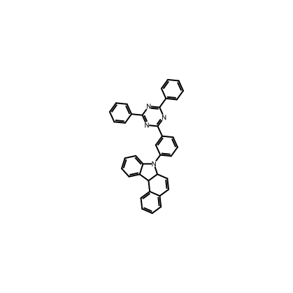 C1=CC2C(c3ccccc31)c1ccccc1N2c1cccc(-c2nc(-c3ccccc3)nc(-c3ccccc3)n2)c1